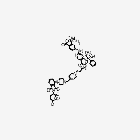 CC1(C)OC(=O)c2ccc(Nc3ncc(-c4nnc(CCN5CCC(CN6CCN(c7cccc8c7C(=O)N(C7CCC(=O)NC7=O)C8=O)CC6)CC5)o4)c(N[C@@](S)(CO)c4ccccc4)n3)cc21